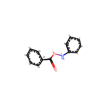 O=C(ONc1ccccc1)c1ccccc1